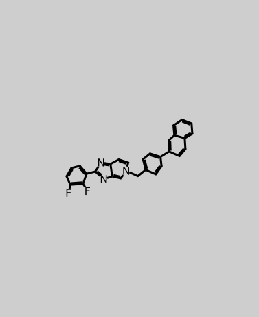 Fc1cccc(-c2nc3ccn(Cc4ccc(-c5ccc6ccccc6c5)cc4)cc-3n2)c1F